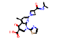 Cc1cc(N2CC(C(=O)NC(C)C)C2)nc2c1c(=O)c(C(=O)O)cn2-c1nccs1